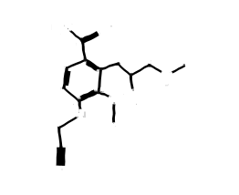 C#CCNc1ccc(C(N)=O)c(CC(O)COC)c1OC